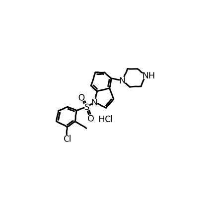 Cc1c(Cl)cccc1S(=O)(=O)n1ccc2c(N3CCNCC3)cccc21.Cl